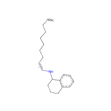 CCCCCCCCCCCCCCCC/C=C\NC1CCCc2ccccc21